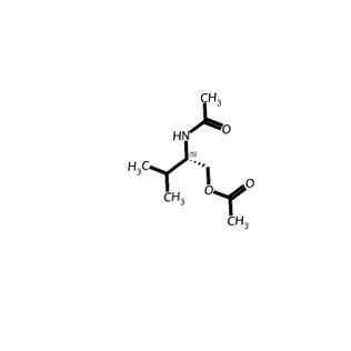 CC(=O)N[C@H](COC(C)=O)C(C)C